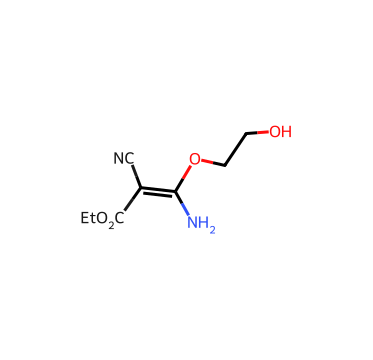 CCOC(=O)/C(C#N)=C(\N)OCCO